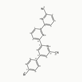 N#Cc1cccc(-c2cccc(-c3cc(-c4ccc(Br)cc4)cc(C#N)n3)n2)n1